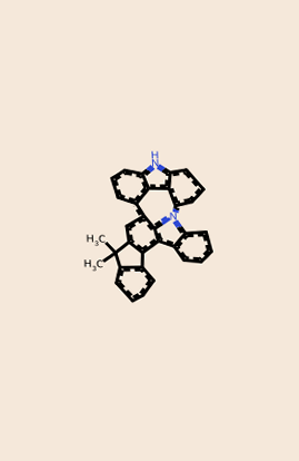 CC1(C)c2ccccc2-c2c1cc1c3cccc4[nH]c5cccc(c5c43)n3c4ccccc4c2c13